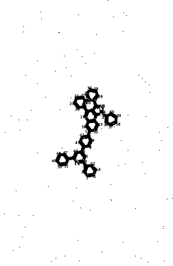 c1ccc(-c2cc(-c3ccc(-c4ccc5c(c4)cc(-c4ccccc4)c4c(-c6ccccc6)nn(-c6ccccc6)c45)cc3)cc(-c3ccccc3)n2)cc1